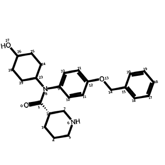 O=C([C@H]1CCCNC1)N(c1ccc(OCc2ccccc2)cc1)C1CCC(O)CC1